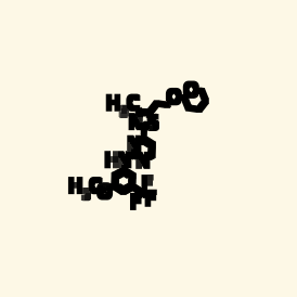 COc1cc(Nc2nccc(-c3nc(C)c(CCOC4CCCCO4)s3)n2)cc(C(F)(F)F)c1